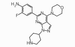 Nc1ccc(-c2nc(N3CCOCC3)c3cnn(C4CCNCC4)c3n2)cc1F